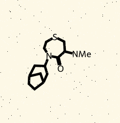 CNC1CSCCN(C2CC3CCC(C3)C2)C1=O